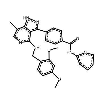 COc1ccc(CNc2ncc(C)c3[nH]nc(-c4ccc(C(=O)Nc5ccccn5)cc4)c23)c(OC)c1